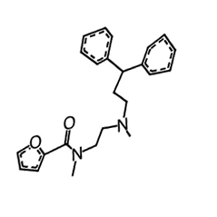 CN(CCC(c1ccccc1)c1ccccc1)CCN(C)C(=O)c1ccco1